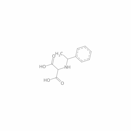 CC(NC(C(=O)O)C(=O)O)c1ccccc1